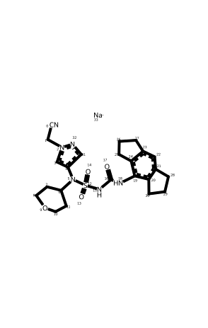 N#CCn1cc(N(C2CCOCC2)S(=O)(=O)NC(=O)Nc2c3c(cc4c2CCC4)CCC3)cn1.[Na]